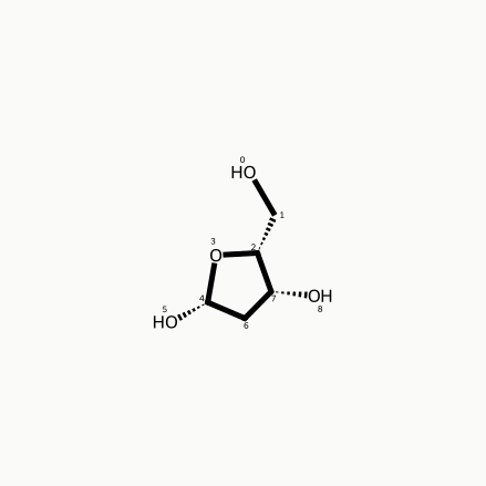 OC[C@H]1O[C@@H](O)C[C@H]1O